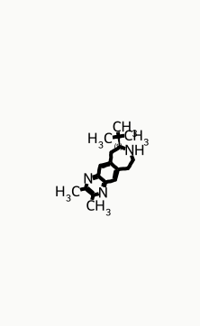 Cc1nc2cc3c(cc2nc1C)C[C@@H](C(C)(C)C)NCC3